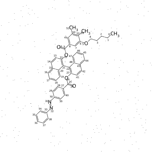 CCCCCOc1cc(C(=O)Oc2ccc3ccccc3c2-c2c(OC(=O)c3ccc(/N=N/c4ccccc4)cc3)ccc3ccccc23)cc(C)c1C